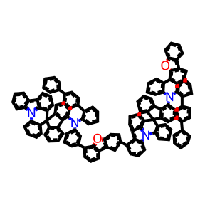 c1ccc(-c2ccc(-c3ccccc3N(c3cccc(-c4cccc5c4oc4ccc(-c6cccc7c6c6cccc8c6n7-c6ccccc6C86c7ccccc7-c7c(N(c8ccccc8-c8ccc(-c9ccccc9)cc8)c8ccccc8-c8cccc9c8oc8ccccc89)cccc76)cc45)c3)c3cccc4c3-c3ccccc3C43c4ccccc4-n4c5ccccc5c5cccc3c54)cc2)cc1